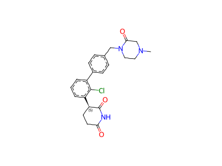 CN1CCN(Cc2ccc(-c3cccc([C@@H]4CCC(=O)NC4=O)c3Cl)cc2)C(=O)C1